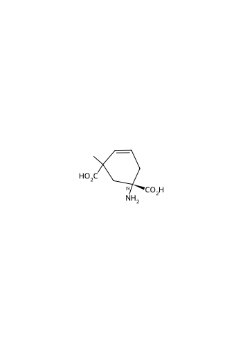 CC1(C(=O)O)C=CC[C@@](N)(C(=O)O)C1